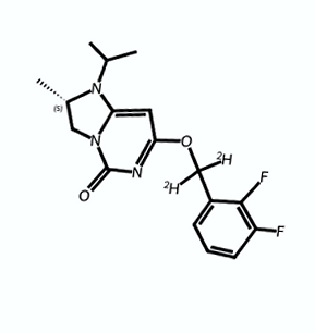 [2H]C([2H])(Oc1cc2n(c(=O)n1)C[C@H](C)N2C(C)C)c1cccc(F)c1F